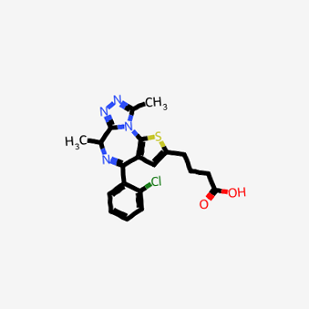 Cc1nnc2n1-c1sc(CCCC(=O)O)cc1C(c1ccccc1Cl)=NC2C